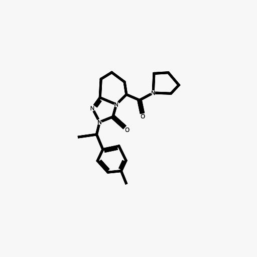 Cc1ccc(C(C)n2nc3n(c2=O)C(C(=O)N2CCCC2)CCC3)cc1